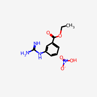 CCOC(=O)c1cccc(NC(=N)N)c1.O=[N+]([O-])O